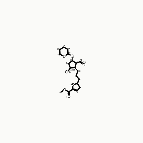 COC(=O)C1=CCC(CCC[C@H]2C(Cl)C[C@@H](OC3CCCCO3)C2C=O)S1